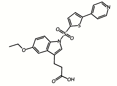 CCOc1ccc2c(c1)c(CCC(=O)O)cn2S(=O)(=O)c1ccc(-c2ccncc2)s1